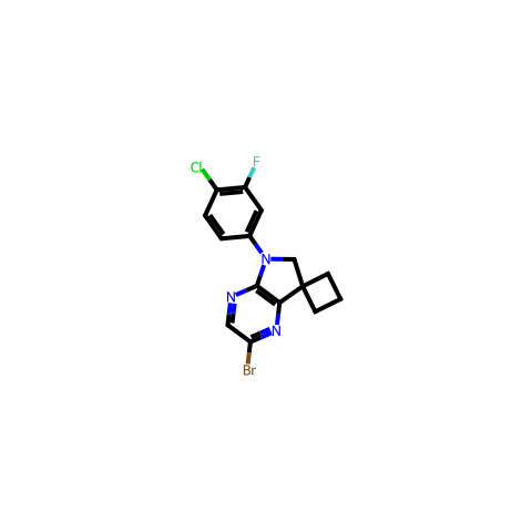 Fc1cc(N2CC3(CCC3)c3nc(Br)cnc32)ccc1Cl